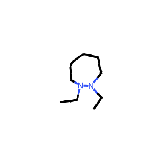 CCN1CCCCCN1CC